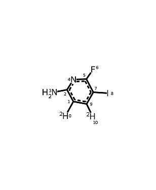 [2H]c1c(N)nc(F)c(I)c1[2H]